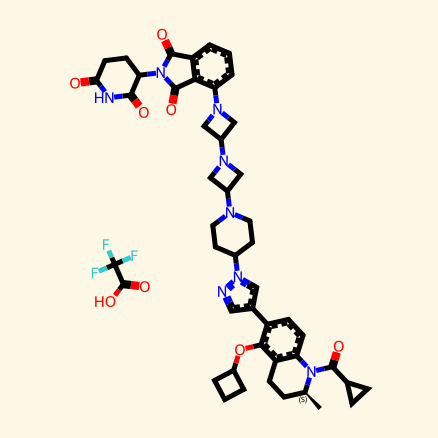 C[C@H]1CCc2c(ccc(-c3cnn(C4CCN(C5CN(C6CN(c7cccc8c7C(=O)N(C7CCC(=O)NC7=O)C8=O)C6)C5)CC4)c3)c2OC2CCC2)N1C(=O)C1CC1.O=C(O)C(F)(F)F